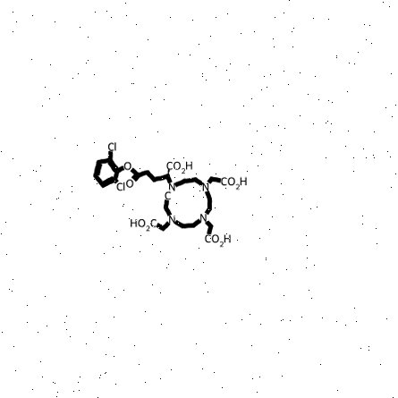 O=C(O)CN1CCN(CC(=O)O)CCN([C@H](CCC(=O)Oc2c(Cl)cccc2Cl)C(=O)O)CCN(CC(=O)O)CC1